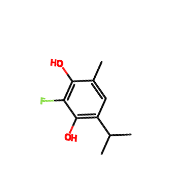 Cc1cc(C(C)C)c(O)c(F)c1O